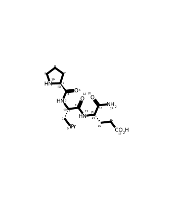 CC(C)C[C@H](NC(=O)[C@@H]1CCCN1)C(=O)N[C@@H](CCC(=O)O)C(N)=O